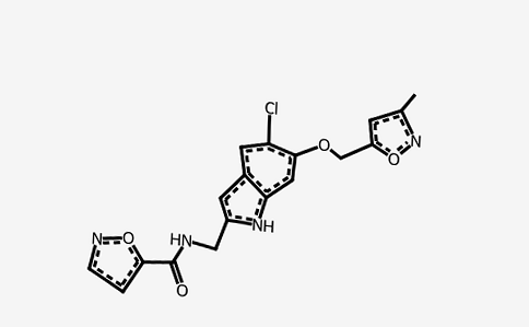 Cc1cc(COc2cc3[nH]c(CNC(=O)c4ccno4)cc3cc2Cl)on1